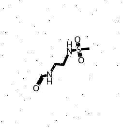 CS(=O)(=O)NCCN[C]=O